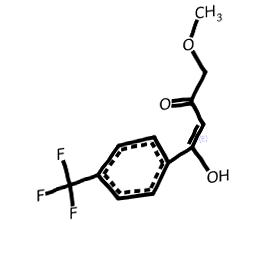 COCC(=O)/C=C(/O)c1ccc(C(F)(F)F)cc1